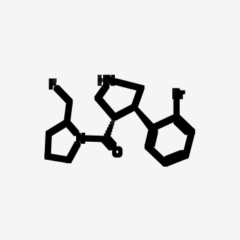 O=C([C@@H]1CNC[C@H]1c1ccccc1Br)N1CCCC1CF